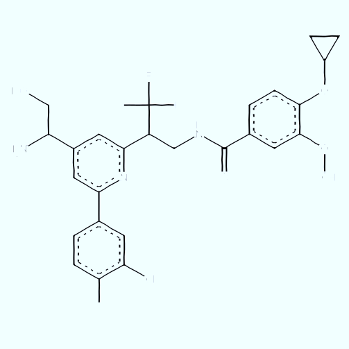 COc1cc(C(=O)NCC(c2cc(C(N)CO)cc(-c3ccc(F)c(Cl)c3)n2)C(F)(F)F)ccc1OC1CC1